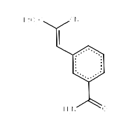 CCOC(=O)C(C#N)=Cc1cccc(C(N)=O)c1